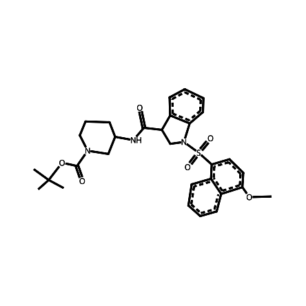 COc1ccc(S(=O)(=O)N2CC(C(=O)NC3CCCN(C(=O)OC(C)(C)C)C3)c3ccccc32)c2ccccc12